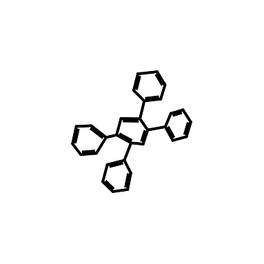 c1ccc(-c2cc(-c3ccccc3)c(-c3ccccc3)cc2-c2ccccc2)cc1